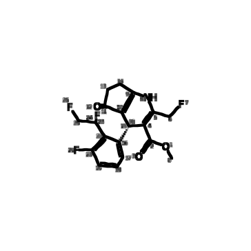 COC(=O)C1=C(CF)NC2=C(C(=O)CC2)[C@H]1c1cccc(F)c1C(F)CF